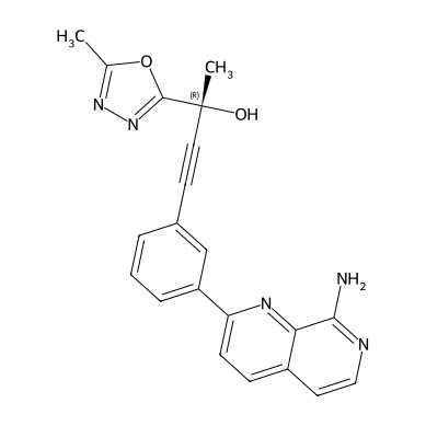 Cc1nnc([C@](C)(O)C#Cc2cccc(-c3ccc4ccnc(N)c4n3)c2)o1